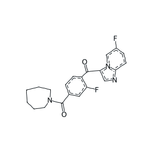 O=C(c1ccc(C(=O)N2CCCCCC2)cc1F)c1cnc2ccc(F)cn12